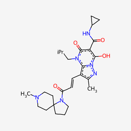 Cc1nn2c(O)c(C(=O)NC3CC3)c(=O)n(CC(C)C)c2c1C=CC(=O)N1CCCC12CCN(C)CC2